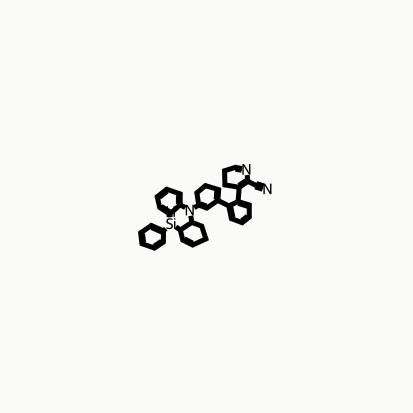 N#CC1=C(c2ccccc2C2=CCCC(N3c4ccccc4[SiH](c4ccccc4)C4C=CCCC43)=C2)CCC=N1